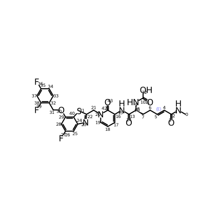 CNC(=O)/C=C/CC[C@H](NC(=O)O)C(=O)Nc1cccn(Cc2nc3cc(F)cc(OCc4ccc(F)cc4F)c3s2)c1=O